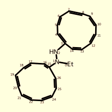 CCN(NC1=C/C=C\C=C/C=C\C=C/C=C\1)C1=C/C=C\C=C/C=C\C=C/C=C\1